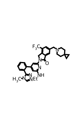 CCNc1cc(-c2ccccc2-c2nncn2C)cc(N2Cc3c(cc(CN4CCC5(CC4)CC5)cc3C(F)(F)F)C2=O)n1